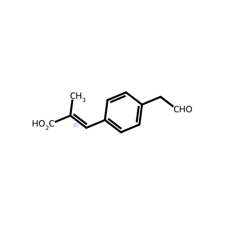 C/C(=C\c1ccc(CC=O)cc1)C(=O)O